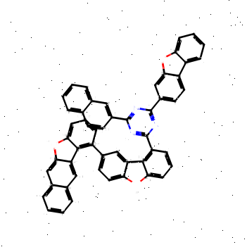 c1ccc2cc(-c3nc(-c4ccc5c(c4)oc4ccccc45)nc(-c4cccc5oc6ccc(-c7cccc8oc9cc%10ccccc%10cc9c78)cc6c45)n3)ccc2c1